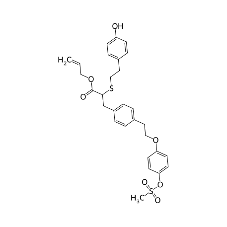 C=CCOC(=O)C(Cc1ccc(CCOc2ccc(OS(C)(=O)=O)cc2)cc1)SCCc1ccc(O)cc1